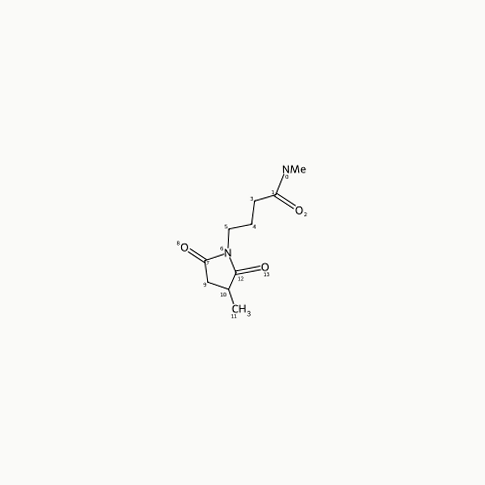 CNC(=O)CCCN1C(=O)CC(C)C1=O